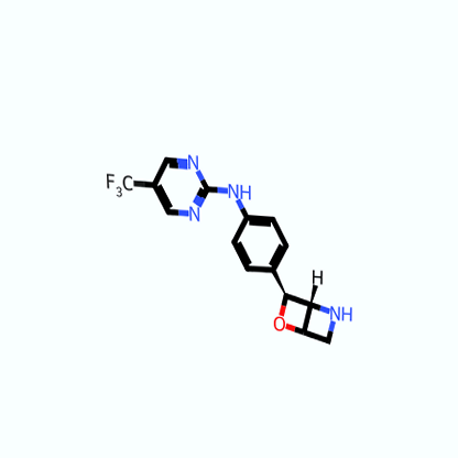 FC(F)(F)c1cnc(Nc2ccc([C@@H]3OC4CN[C@H]43)cc2)nc1